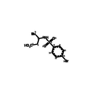 CCC(C)C(CC(=O)O)NS(=O)(=O)c1ccc(Br)cc1